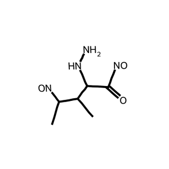 CC(N=O)C(C)C(NN)C(=O)N=O